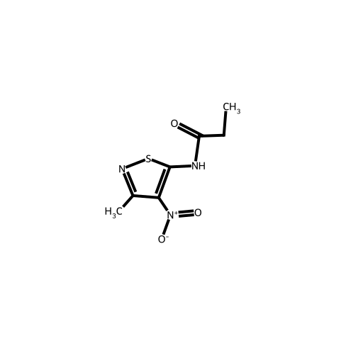 CCC(=O)Nc1snc(C)c1[N+](=O)[O-]